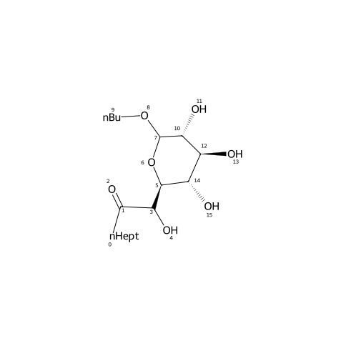 CCCCCCCC(=O)C(O)[C@H]1OC(OCCCC)[C@H](O)[C@@H](O)[C@@H]1O